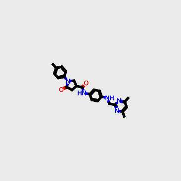 Cc1ccc(N2CC(C(=O)Nc3ccc(NCc4nc(C)cc(C)n4)cc3)CC2=O)cc1